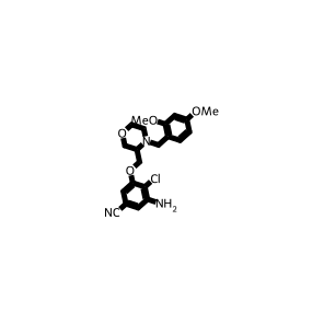 COc1ccc(CN2CCOCC2COc2cc(C#N)cc(N)c2Cl)c(OC)c1